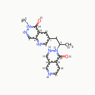 CC(C)n1ncc2ncc(CC(C)n3ncc4cnccc4c3=O)cc2c1=O